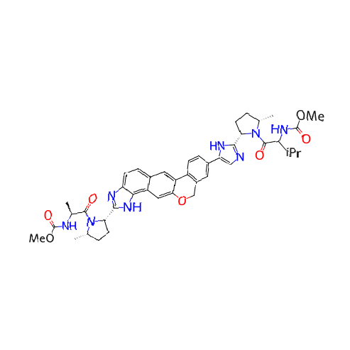 COC(=O)NC(C(=O)N1[C@@H](C)CC[C@H]1c1ncc(-c2ccc3c(c2)COc2cc4c(ccc5nc([C@@H]6CC[C@H](C)N6C(=O)[C@H](C)NC(=O)OC)[nH]c54)cc2-3)[nH]1)C(C)C